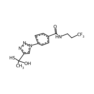 CC(O)(S)c1cn(-c2ccc(C(=O)NCCC(F)(F)F)cc2)nn1